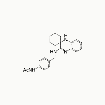 CC(=O)Nc1ccc(CNC2=Nc3ccccc3NC23CCCCC3)cc1